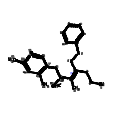 C/C(=C(\CCO)SSc1ccccn1)N(C=O)Cc1cnc(C)nc1N